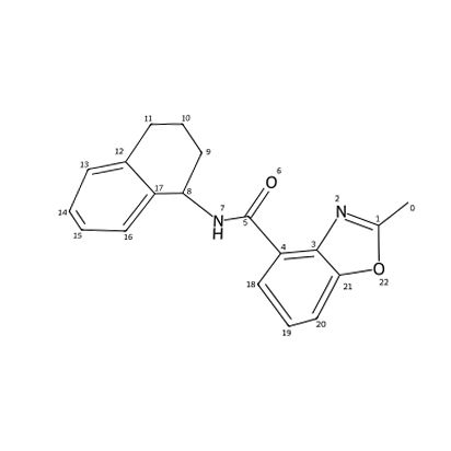 Cc1nc2c(C(=O)NC3CCCc4ccccc43)cccc2o1